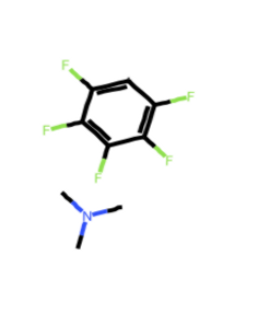 CN(C)C.Fc1[c]c(F)c(F)c(F)c1F